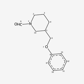 O=CN1CCCC(COc2ccccc2)C1